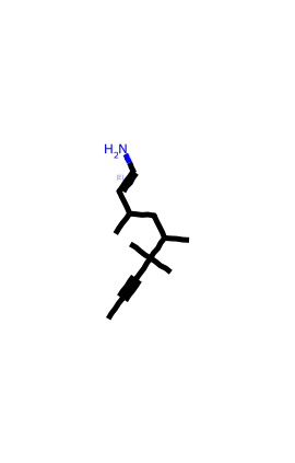 CC#CC(C)(C)C(C)CC(C)/C=C/N